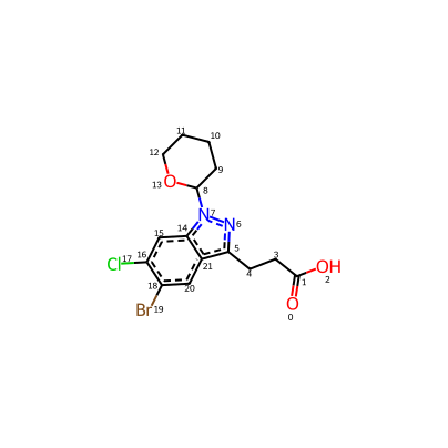 O=C(O)CCc1nn(C2CCCCO2)c2cc(Cl)c(Br)cc12